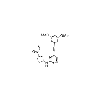 C=CC(=O)N1CCC(Nc2cncc(C#Cc3cc(OC)cc(OC)c3)n2)C1